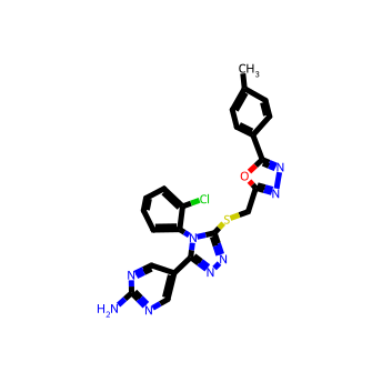 Cc1ccc(-c2nnc(CSc3nnc(-c4cnc(N)nc4)n3-c3ccccc3Cl)o2)cc1